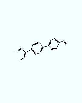 N=C/C(=C\N)c1ccc(-c2ccc(C=O)cc2)cc1